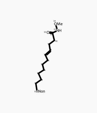 CCCCCCCCCCCCCCCC=CCCC(=O)NOC